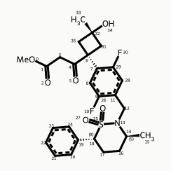 COC(=O)CC(=O)[C@]1(c2cc(F)c(CN3[C@@H](C)CC[C@H](c4ccccc4)S3(=O)=O)cc2F)C[C@@](C)(O)C1